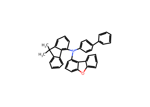 CC1(C)c2ccccc2-c2c(N(c3ccc(-c4ccccc4)cc3)c3cccc4oc5ccccc5c34)cccc21